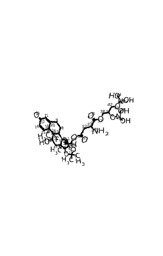 CC1(C)O[C@@H]2CC3C4CCC5=CC(=O)C=C[C@]5(C)[C@@]4(F)[C@@H](O)C[C@]3(C)[C@]2(C(=O)COC(=O)CC(N)C(=O)OCC(CON(O)O)ON(O)O)O1